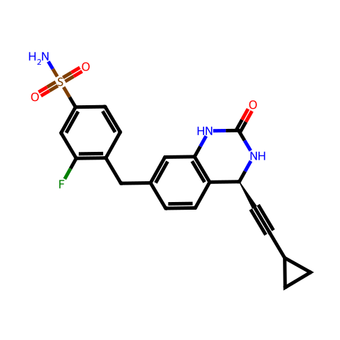 NS(=O)(=O)c1ccc(Cc2ccc3c(c2)NC(=O)N[C@H]3C#CC2CC2)c(F)c1